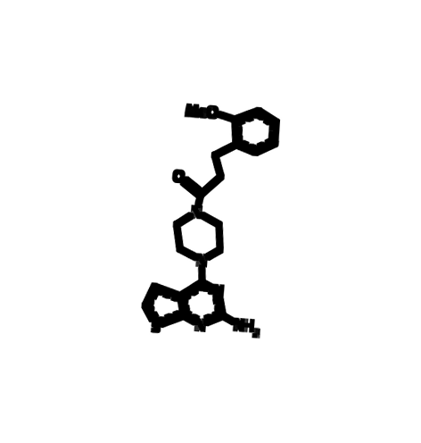 COc1ccccc1CCC(=O)N1CCN(c2nc(N)nc3sccc23)CC1